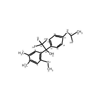 COc1cc(C)c(C)cc1C(O)(c1ccc(SC(C)F)cc1)C(F)(F)F